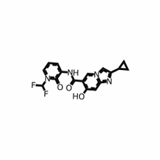 O=C(Nc1cccn(C(F)F)c1=O)c1cn2cc(C3CC3)nc2cc1O